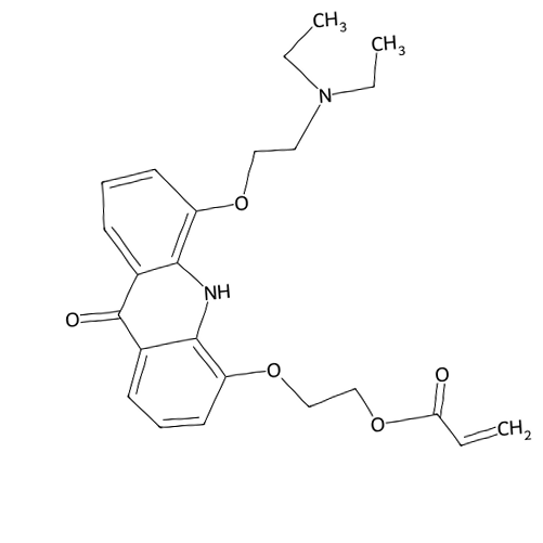 C=CC(=O)OCCOc1cccc2c(=O)c3cccc(OCCN(CC)CC)c3[nH]c12